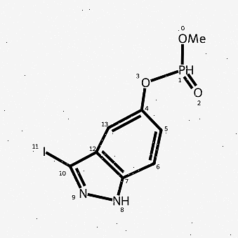 CO[PH](=O)Oc1ccc2[nH]nc(I)c2c1